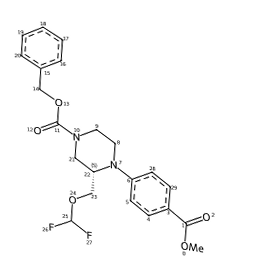 COC(=O)c1ccc(N2CCN(C(=O)OCc3ccccc3)C[C@H]2COC(F)F)cc1